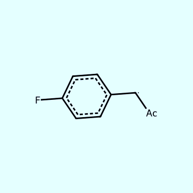 CC(=O)[CH]c1ccc(F)cc1